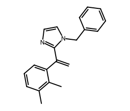 C=C(c1cccc(C)c1C)c1nccn1Cc1ccccc1